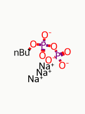 CCCCOP(=O)([O-])OP(=O)([O-])[O-].[Na+].[Na+].[Na+]